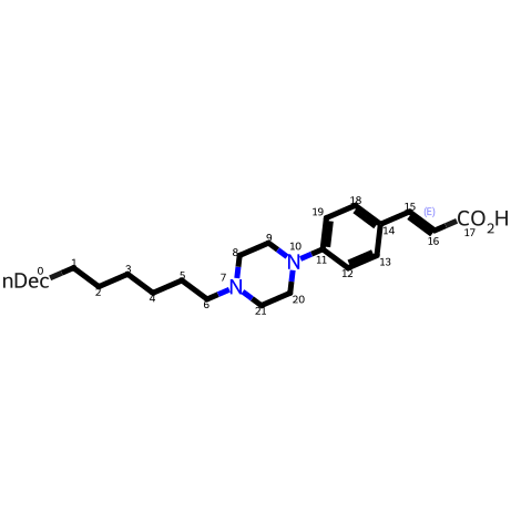 CCCCCCCCCCCCCCCCN1CCN(c2ccc(/C=C/C(=O)O)cc2)CC1